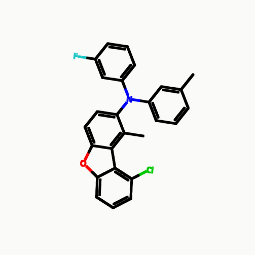 Cc1cccc(N(c2cccc(F)c2)c2ccc3oc4cccc(Cl)c4c3c2C)c1